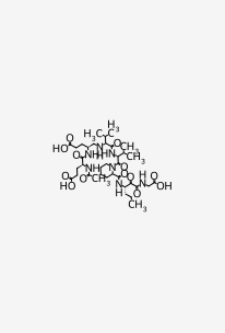 CCC[C@H](NC(=O)C1CCCCN1C(=O)[C@@H](NC(=O)[C@@H](NC[C@H](CCC(=O)O)NC(=O)[C@H](CCC(=O)O)NC(C)=O)C(C)C)C(C)C)C(=O)C(=O)NCC(=O)O